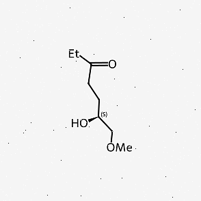 CCC(=O)CC[C@H](O)COC